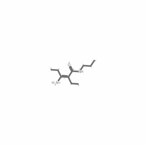 CCCNC(=O)/C(CC)=C(/N)CC